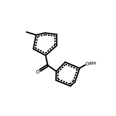 COc1cccc(C(=O)c2cccc(C)c2)c1